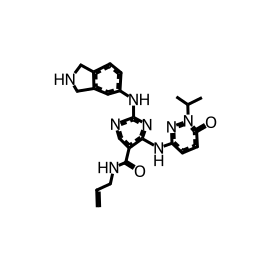 C=CCNC(=O)c1cnc(Nc2ccc3c(c2)CNC3)nc1Nc1ccc(=O)n(C(C)C)n1